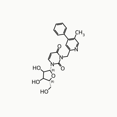 Cc1cnc(Cn2c(=O)ccn([C@@H]3O[C@H](CO)C(O)C3O)c2=O)cc1-c1ccccc1